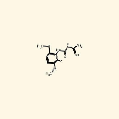 COc1ccc(OC)c(NC(=O)NC(=N)N)c1Cl